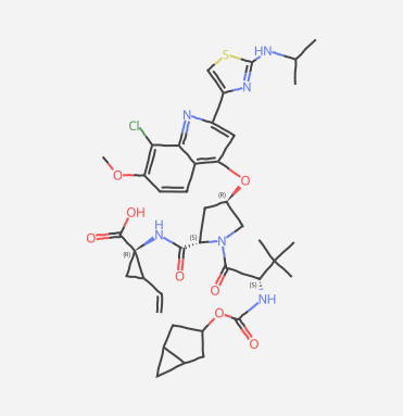 C=CC1C[C@]1(NC(=O)[C@@H]1C[C@@H](Oc2cc(-c3csc(NC(C)C)n3)nc3c(Cl)c(OC)ccc23)CN1C(=O)[C@@H](NC(=O)OC1CC2CC2C1)C(C)(C)C)C(=O)O